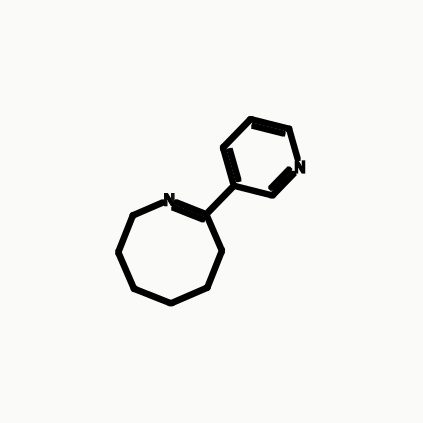 c1cncc(C2=NCCCCCC2)c1